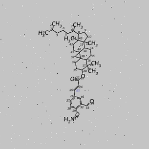 CC(C)CCCC(C)C1CCC2(C)C3CCC4C(C)(C)C(OC(=O)/C=C/c5ccc(ON)c(C=O)c5)CCC45CC35CCC12C